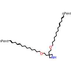 CCCCCC=CCC=CCCCCCCCCOCCC1(CCOCCCCCCCCC=CCC=CCCCCC)CNC1